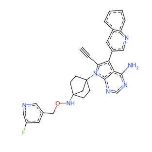 C#Cc1c(-c2cnc3ccccc3c2)c2c(N)ncnc2n1C12CCC(NOCc3cncc(F)c3)(CC1)C2